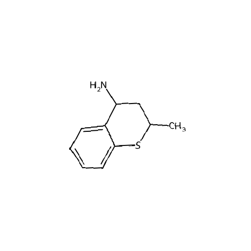 CC1CC(N)c2ccccc2S1